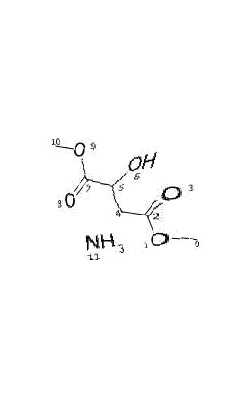 COC(=O)CC(O)C(=O)OC.N